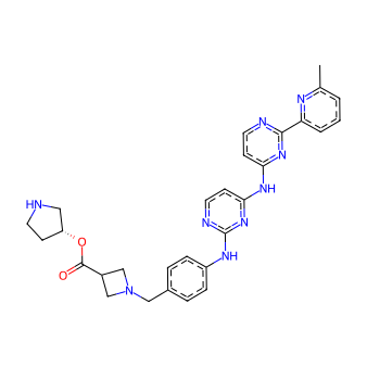 Cc1cccc(-c2nccc(Nc3ccnc(Nc4ccc(CN5CC(C(=O)O[C@@H]6CCNC6)C5)cc4)n3)n2)n1